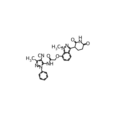 Cc1nn(-c2ccccc2)c(NC(=O)COc2cccc3c(C4CCC(=O)NC4=O)nn(C)c23)c1C#N